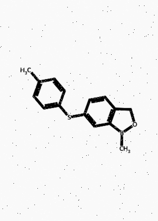 CB1OCc2ccc(Sc3ccc(C)cc3)cc21